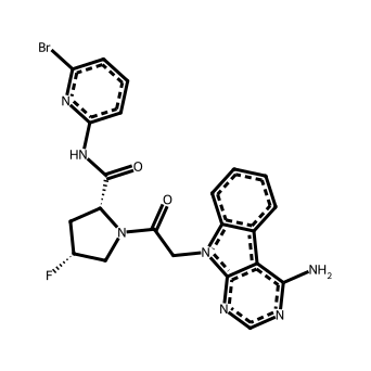 Nc1ncnc2c1c1ccccc1n2CC(=O)N1C[C@H](F)C[C@@H]1C(=O)Nc1cccc(Br)n1